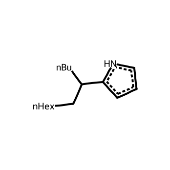 CCCCCCCC(CCCC)c1ccc[nH]1